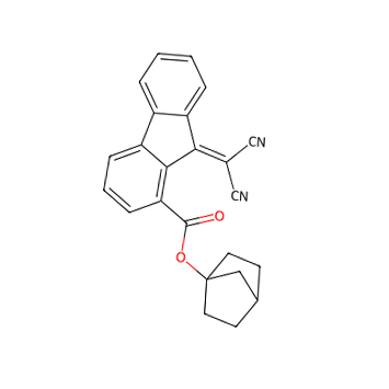 N#CC(C#N)=C1c2ccccc2-c2cccc(C(=O)OC34CCC(CC3)C4)c21